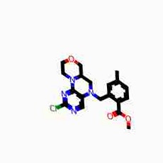 COC(=O)c1ccc(C)cc1CN1CC2COCCN2c2nc(Cl)ncc21